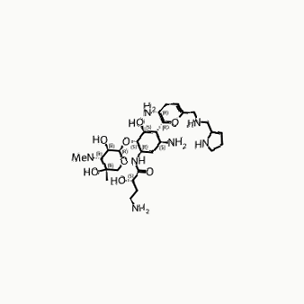 CN[C@@H]1[C@@H](O)[C@@H](O[C@H]2[C@H](NC(=O)[C@@H](O)CCN)C[C@H](N)C([C@H]3OC(CNCC4CCCN4)=CC[C@H]3N)[C@@H]2O)OC[C@]1(C)O